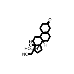 CC12CC=C3C4=C(CC[C@H]3[C@@H]1CC[C@@]2(O)CC#N)CC(=O)CC4